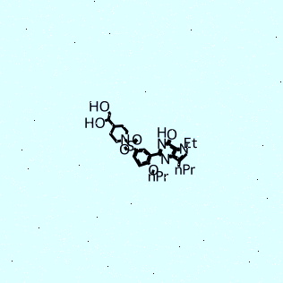 CCCOc1ccc(S(=O)(=O)N2CCC(C(O)CO)CC2)cc1-c1nc2c(CCC)cn(CC)c2c(=O)[nH]1